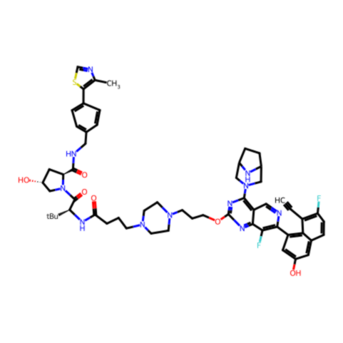 C#Cc1c(F)ccc2cc(O)cc(-c3ncc4c(N5CC6CCC(C5)N6)nc(OCCCN5CCN(CCCC(=O)N[C@H](C(=O)N6C[C@H](O)C[C@H]6C(=O)NCc6ccc(-c7scnc7C)cc6)C(C)(C)C)CC5)nc4c3F)c12